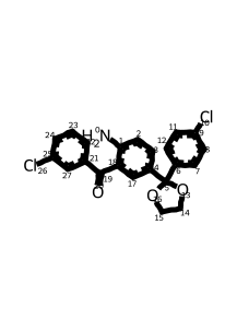 Nc1ccc(C2(c3ccc(Cl)cc3)OCCO2)cc1C(=O)c1cccc(Cl)c1